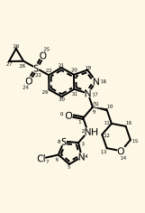 O=C(Nc1ncc(Cl)s1)[C@H](CC1CCOCC1)n1ncc2cc(S(=O)(=O)C3CC3)ccc21